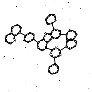 c1ccc(-c2cc(-c3ccccc3)c3sc4c(-c5ccc(-c6cccc7cccnc67)cc5)ccc(-c5nc(-c6ccccc6)nc(-c6ccccc6)n5)c4c3c2)cc1